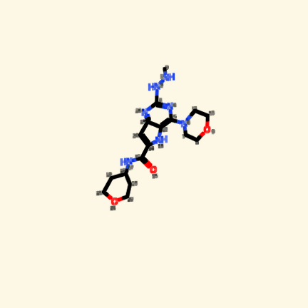 CNNc1nc(N2CCOCC2)c2[nH]c(C(=O)NC3CCOCC3)cc2n1